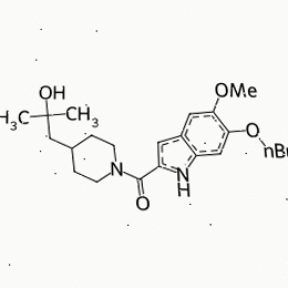 CCCCOc1cc2[nH]c(C(=O)N3CCC(CC(C)(C)O)CC3)cc2cc1OC